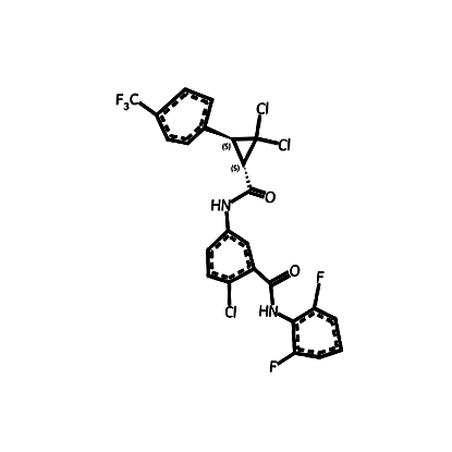 O=C(Nc1c(F)cccc1F)c1cc(NC(=O)[C@@H]2[C@@H](c3ccc(C(F)(F)F)cc3)C2(Cl)Cl)ccc1Cl